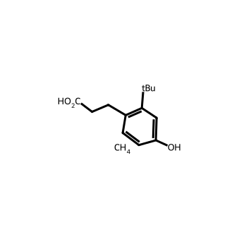 C.CC(C)(C)c1cc(O)ccc1CCC(=O)O